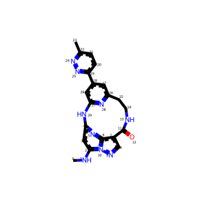 CNc1cc2nc3c(cnn13)C(=O)NCCc1cc(-c3ccc(C)nn3)cc(n1)N2